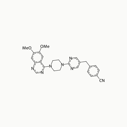 COc1cc2ncnc(N3CCN(c4ncc(Cc5ccc(C#N)cc5)cn4)CC3)c2cc1OC